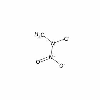 CN(Cl)[N+](=O)[O-]